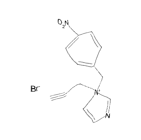 C#CC[N+]1(Cc2ccc([N+](=O)[O-])cc2)C=CN=C1.[Br-]